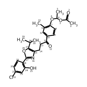 CC(=O)OC(C)Oc1ccc(C(=O)CCc2nc(-c3ccc(Cl)cc3O)oc2C(C)C)cc1C